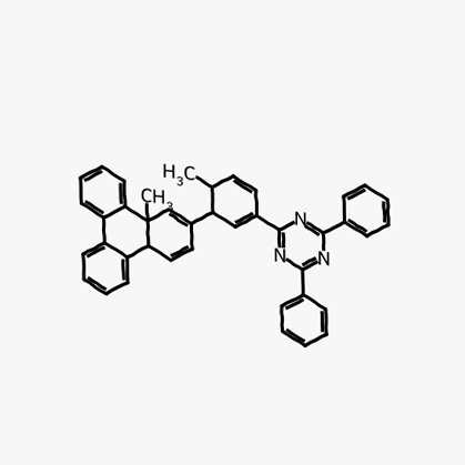 CC1C=CC(c2nc(-c3ccccc3)nc(-c3ccccc3)n2)=CC1C1=CC2(C)c3ccccc3-c3ccccc3C2C=C1